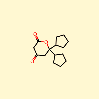 O=C1CC(=O)OC(C2CCCC2)(C2CCCC2)C1